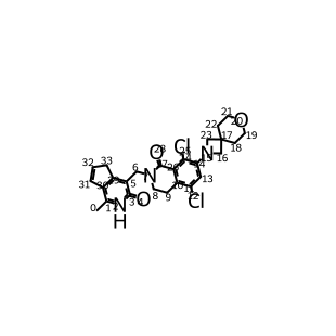 Cc1[nH]c(=O)c(CN2CCc3c(Cl)cc(N4CC5(CCOCC5)C4)c(Cl)c3C2=O)c2c1C=CC2